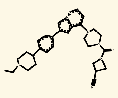 CCN1CCC(c2ccc(-c3cc4c(N5CCN(C(=O)N6CC(C#N)C6)CC5)ccnn4c3)cc2)CC1